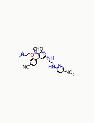 CN(C)CCON(C=O)c1cnc(NCCNc2ccc([N+](=O)[O-])cn2)cc1-c1ccc(C#N)cc1